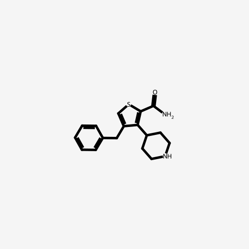 NC(=O)c1scc(Cc2ccccc2)c1C1CCNCC1